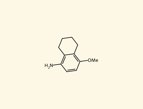 COc1ccc(N)c2c1CCCC2